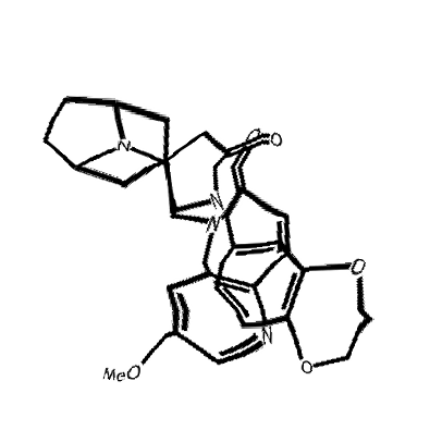 COc1cnc2ccc(=O)n(CCN3C4CCC3CC3(CC(=O)N(c5ccc6c(c5)OCCO6)C3)C4)c2c1